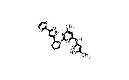 Cc1cc(Nc2cc(C)[nH]n2)nc(N2CCCC2c2cc(-c3nccs3)no2)n1